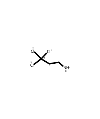 [NH]CCC(Cl)(Cl)Cl